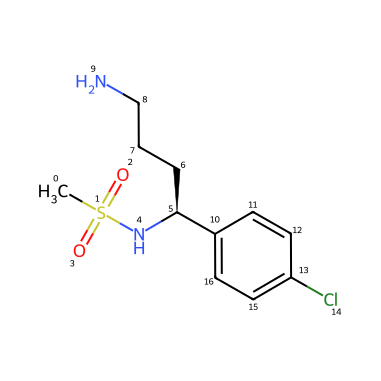 CS(=O)(=O)N[C@@H](CCCN)c1ccc(Cl)cc1